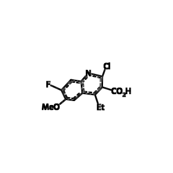 CCc1c(C(=O)O)c(Cl)nc2cc(F)c(OC)cc12